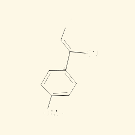 COc1ccc(/C(C#N)=C/F)cc1